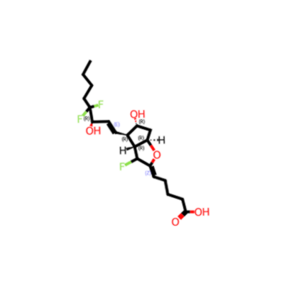 CCCCC(F)(F)[C@H](O)/C=C/[C@@H]1[C@H]2C(F)/C(=C/CCCC(=O)O)O[C@@H]2C[C@H]1O